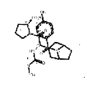 CC(C)(C)OC(=O)N[C@H](C(=O)N1CCC[C@H]1C(=O)O)C1CC2CCC(C1)N2C(=O)c1ccc(C(F)(F)F)cc1